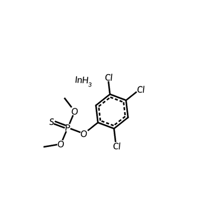 COP(=S)(OC)Oc1cc(Cl)c(Cl)cc1Cl.[InH3]